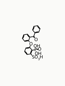 O=C(c1ccccc1)c1ccccc1Oc1cccc(S(=O)(=O)O)c1P(=O)(O)O